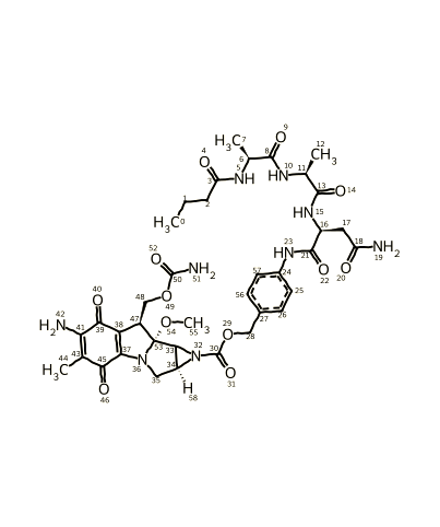 CCCC(=O)N[C@@H](C)C(=O)N[C@@H](C)C(=O)N[C@@H](CC(N)=O)C(=O)Nc1ccc(COC(=O)N2C3[C@@H]2CN2C4=C(C(=O)C(N)=C(C)C4=O)[C@@H](COC(N)=O)[C@@]32OC)cc1